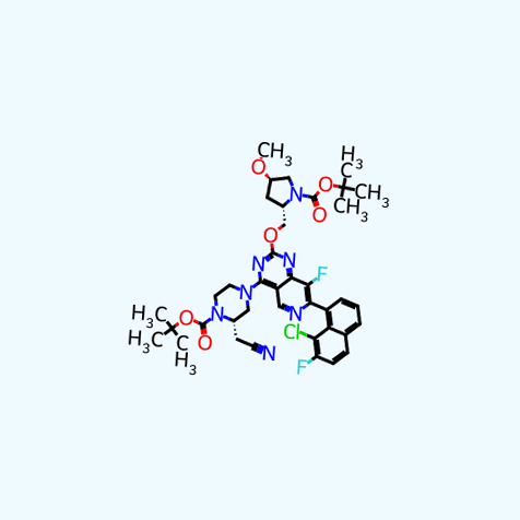 CO[C@@H]1C[C@@H](COc2nc(N3CCN(C(=O)OC(C)(C)C)[C@@H](CC#N)C3)c3cnc(-c4cccc5ccc(F)c(Cl)c45)c(F)c3n2)N(C(=O)OC(C)(C)C)C1